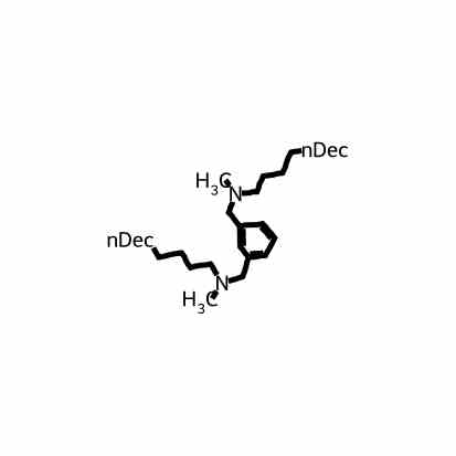 CCCCCCCCCCCCCCN(C)Cc1cccc(CN(C)CCCCCCCCCCCCCC)c1